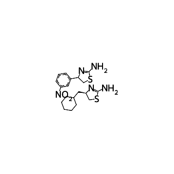 NC1=NC(c2cccc([N+](=O)[O-])c2)CS1.NC1=N[C@H](CC2CCCCC2)CS1